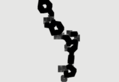 O=C1CC[C@H](C#Cc2cc3ncnc(Nc4ccc5c(cnn5Cc5ccccc5)c4)c3s2)N1